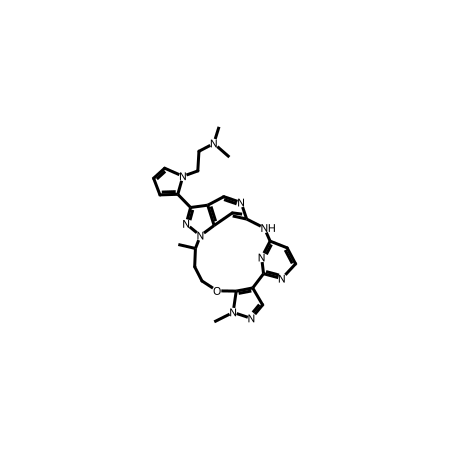 CC1CCOc2c(cnn2C)-c2nccc(n2)Nc2cc3c(cn2)c(-c2cccn2CCN(C)C)nn31